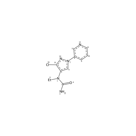 CCN(C(N)=O)c1cn(-c2cccnc2)nc1Cl